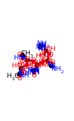 Cc1cn([C@H]2C[C@@H](O)[C@@H](COP(=O)(O)O[C@@H]3C[C@H](n4cc(C)c(=O)[nH]c4=O)O[C@@H]3COP(=O)(O)OC3[C@@H](COP(=O)(O)OC4[C@@H](COP(=O)(O)OC5[C@@H](CO)O[C@@H](n6cnc7c(N)ncnc76)[C@H]5O)O[C@@H](n5ccc(N)nc5=O)[C@H]4O)O[C@@H](n4cnc5c(=O)[nH]c(N)nc54)[C@H]3O)O2)c(=O)[nH]c1=O